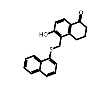 O=C1CCCc2c1ccc(O)c2CSc1cccc2ccccc12